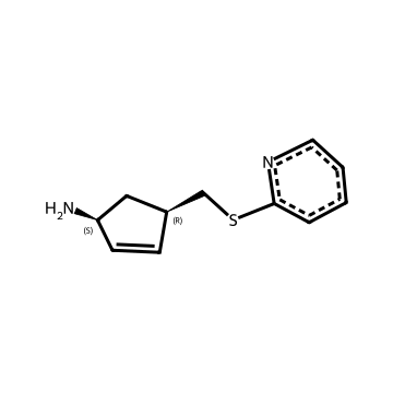 N[C@@H]1C=C[C@H](CSc2ccccn2)C1